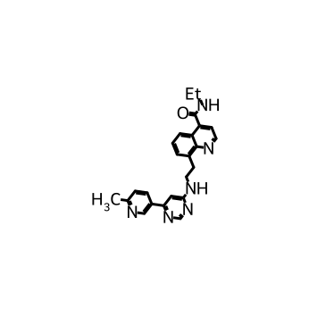 CCNC(=O)c1ccnc2c(CCNc3cc(-c4ccc(C)nc4)ncn3)cccc12